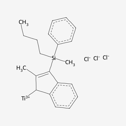 CCCC[Si](C)(C1=C(C)[CH]([Ti+3])c2ccccc21)c1ccccc1.[Cl-].[Cl-].[Cl-]